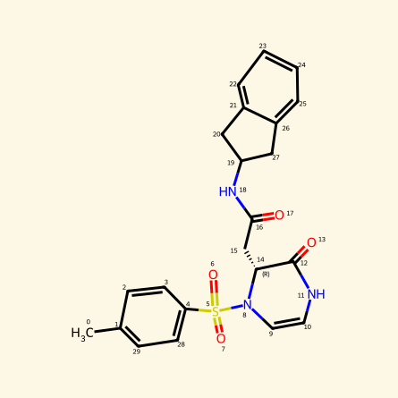 Cc1ccc(S(=O)(=O)N2C=CNC(=O)[C@H]2CC(=O)NC2Cc3ccccc3C2)cc1